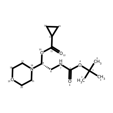 CC(C)(C)OC(=O)NC[C@@H](OC(=O)C1CC1)N1CCOCC1